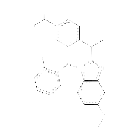 COc1ccc2c(c1)nc(C(C)c1ccc(C(C)O)cc1)n2Cc1ccccc1Cl